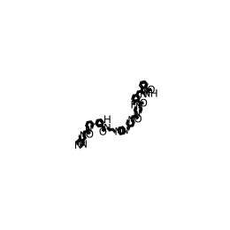 O=C(NCCCN1CCN(CC2CCN(CC(=O)N3CCN(C(=O)c4cc(Cc5n[nH]c(=O)c6ccccc56)ccc4F)CC3)CC2)CC1)c1cccc([C@H]2CCCN(C(=O)CN3Cc4cncnc4C3)C2)c1